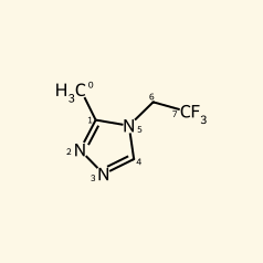 Cc1nncn1CC(F)(F)F